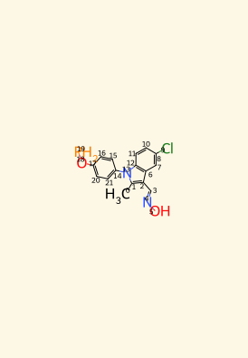 Cc1c(/C=N/O)c2cc(Cl)ccc2n1-c1ccc(OP)cc1